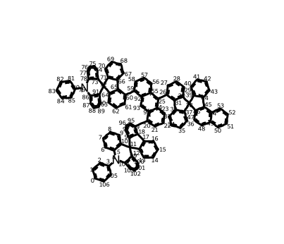 c1ccc(N2c3ccccc3C3(c4ccccc4-c4c(-c5cccc6c(-c7cccc8c7-c7ccccc7C87c8ccccc8-c8c7ccc7ccccc87)c7cccc(-c8cccc9c8-c8ccccc8C98c9ccccc9N(c9ccccc9)c9ccccc98)c7cc56)cccc43)c3ccccc32)cc1